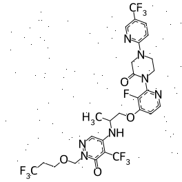 CC(COc1ccnc(N2CCN(c3ccc(C(F)(F)F)cn3)CC2=O)c1F)Nc1cnn(COCCC(F)(F)F)c(=O)c1C(F)(F)F